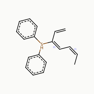 C=C/C(=C\C=C/C)[SH](c1ccccc1)c1ccccc1